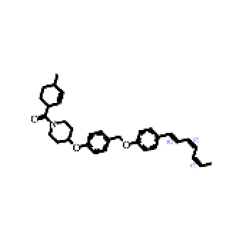 C\C=C/C=C\C=C\c1ccc(OCc2ccc(OC3CCN(C(=O)C4C=CC(C)CC4)CC3)cc2)cc1